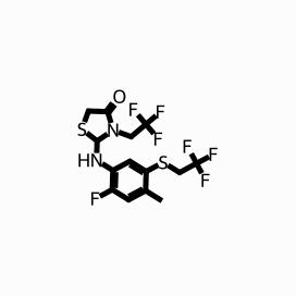 Cc1cc(F)c(NC2SCC(=O)N2CC(F)(F)F)cc1SCC(F)(F)F